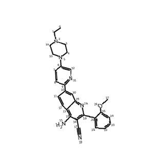 CCN1CCN(c2ccc(-c3ccc4c(N)c(C#N)c(-c5ccccc5OC)nc4c3)nc2)CC1